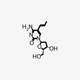 CC=Cc1cn([C@H]2C[C@H](O)[C@@H](CO)O2)c(=O)nc1N